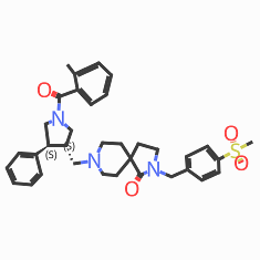 Cc1ccccc1C(=O)N1C[C@H](CN2CCC3(CC2)CCN(Cc2ccc(S(C)(=O)=O)cc2)C3=O)[C@@H](c2ccccc2)C1